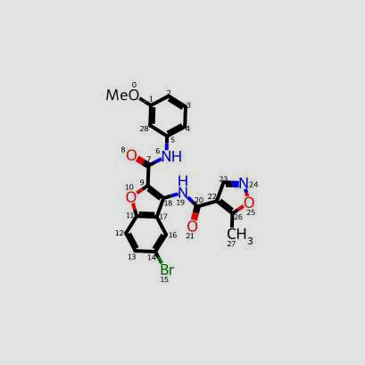 COc1cccc(NC(=O)c2oc3ccc(Br)cc3c2NC(=O)c2cnoc2C)c1